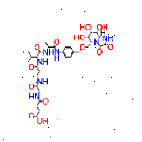 CC(C)[C@H](NC(=O)CCNC(=O)CNC(=O)CCC(=O)O)C(=O)N[C@@H](C)C(=O)Nc1ccc(COC[C@@H]2[C@@H](O)[C@H](O)[C@H](O)[C@H]3NC(=O)C(=O)N23)cc1